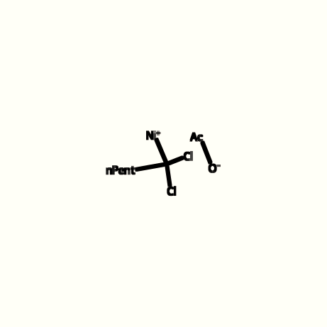 CC(=O)[O-].CCCCC[C](Cl)(Cl)[Ni+]